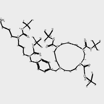 CC(C)(C)OC(=O)N(CCCN)CCCN(Cc1ccc(CN2CCCN(C(=O)OC(C)(C)C)CCN(C(=O)OC(C)(C)C)CCCN(C(=O)OC(C)(C)C)CC2)cc1)C(=O)OC(C)(C)C